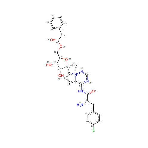 N#C[C@@]1(c2ccc3c(NC(=O)[C@@H](N)Cc4ccc(F)cc4)ncnn23)O[C@H](COC(=O)Cc2ccccc2)[C@@H](O)[C@H]1O